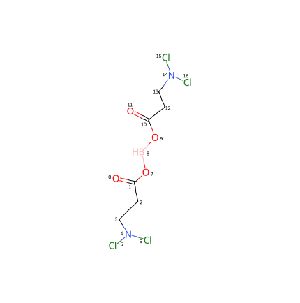 O=C(CCN(Cl)Cl)OBOC(=O)CCN(Cl)Cl